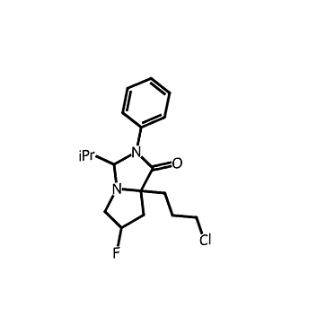 CC(C)C1N(c2ccccc2)C(=O)C2(CCCCl)CC(F)CN12